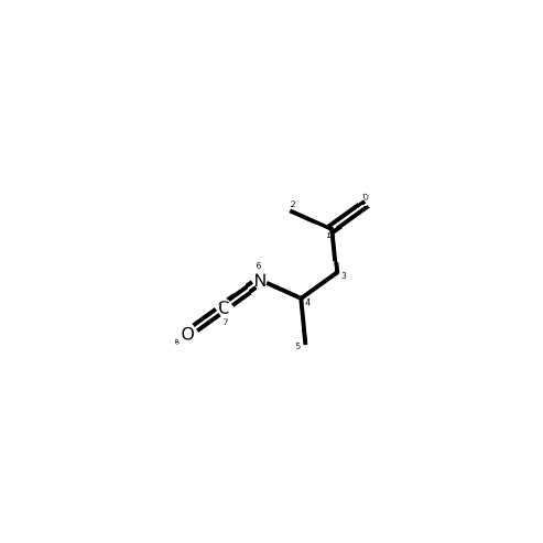 C=C(C)CC(C)N=C=O